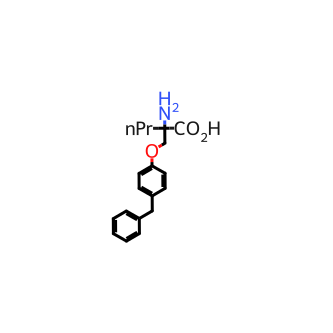 CCCC(N)(COc1ccc(Cc2ccccc2)cc1)C(=O)O